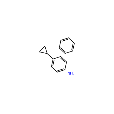 N.c1ccc(C2CC2)cc1.c1ccccc1